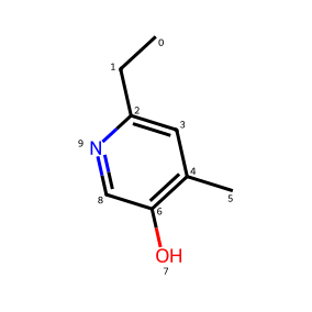 CCc1cc(C)c(O)cn1